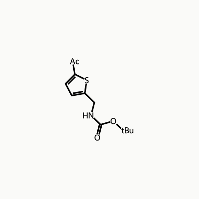 CC(=O)c1ccc(CNC(=O)OC(C)(C)C)s1